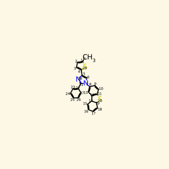 Cc1ccc(-c2cn(-c3ccc4c(c3)C3C=CC=CC3S4)c(-c3ccccc3)n2)s1